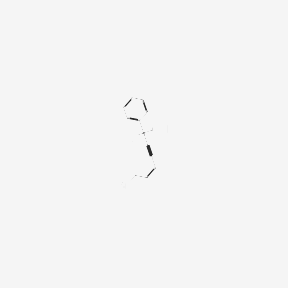 CC(C)(C#C/C=C\CBr)c1ccccc1